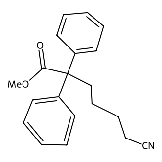 COC(=O)C(CCCCC#N)(c1ccccc1)c1ccccc1